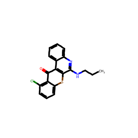 CCCNc1nc2ccccc2c2c(=O)c3c(Cl)cccc3sc12